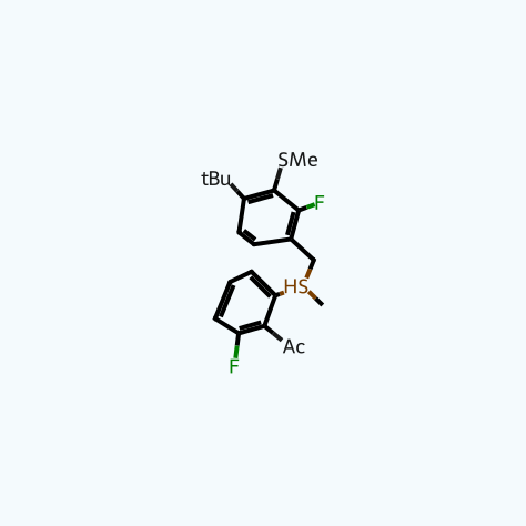 CSc1c(C(C)(C)C)ccc(C[SH](C)c2cccc(F)c2C(C)=O)c1F